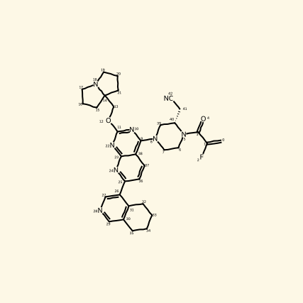 C=C(F)C(=O)N1CCN(c2nc(OCC34CCCN3CCC4)nc3nc(-c4cncc5c4CCCC5)ccc23)C[C@@H]1CC#N